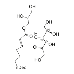 CCCCCCCCCCCCCC=CC(=O)OCC(O)CO.O=C(CO)[C@@H](O)[C@H](O)[C@H](O)CO